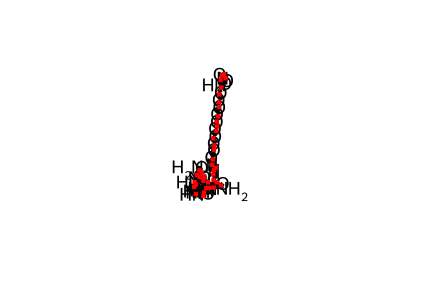 CCN/C(=C\C(C)=N)C(=O)Nc1nc2cc(C(N)=O)cc(OC)c2n1C/C=C/Cn1c(NC(=O)/C(=C/C(C)=N)NCC)nc2cc(C(N)=O)cc(OCCCN3CCN(CCOCCOCCOCCOCCOCCOCCOCCOCCOCCOCCNC(=O)CN4C(=O)C=CC4=O)CC3)c21